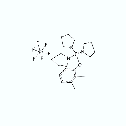 Cc1cccc(O[P+](N2CCCC2)(N2CCCC2)N2CCCC2)c1C.F[P-](F)(F)(F)(F)F